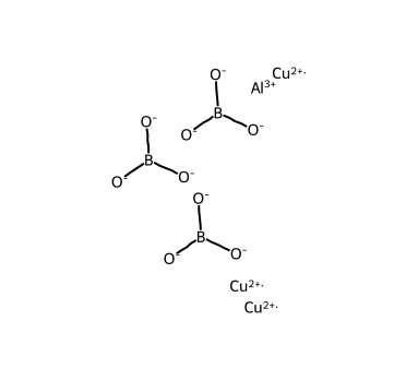 [Al+3].[Cu+2].[Cu+2].[Cu+2].[O-]B([O-])[O-].[O-]B([O-])[O-].[O-]B([O-])[O-]